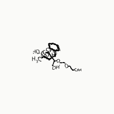 C=C(C(=O)O)C(C=C(C)C(=O)O)(Cc1ccccc1)C(CO)OCCOCCO